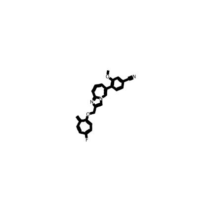 C=C1C=CC(F)=CC=C1OCc1cn2c(n1)C=C=CC(c1ccc(C#N)cc1OC)=C2